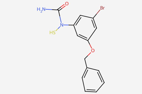 NC(=O)N(S)c1cc(Br)cc(OCc2ccccc2)c1